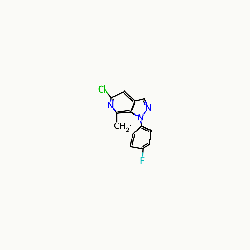 [CH2]c1nc(Cl)cc2cnn(-c3ccc(F)cc3)c12